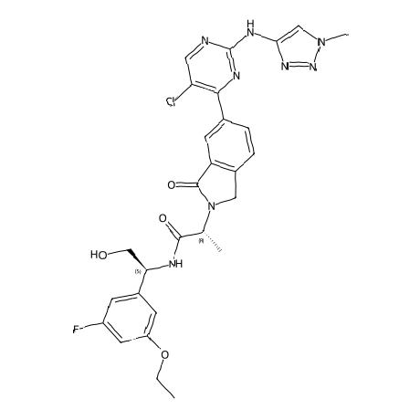 CCOc1cc(F)cc([C@@H](CO)NC(=O)[C@@H](C)N2Cc3ccc(-c4nc(Nc5cn(C)nn5)ncc4Cl)cc3C2=O)c1